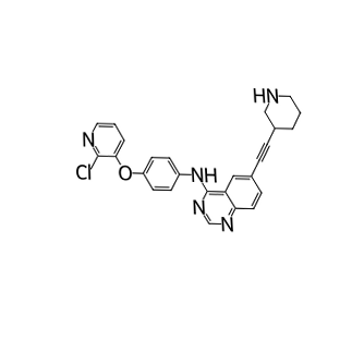 Clc1ncccc1Oc1ccc(Nc2ncnc3ccc(C#CC4CCCNC4)cc23)cc1